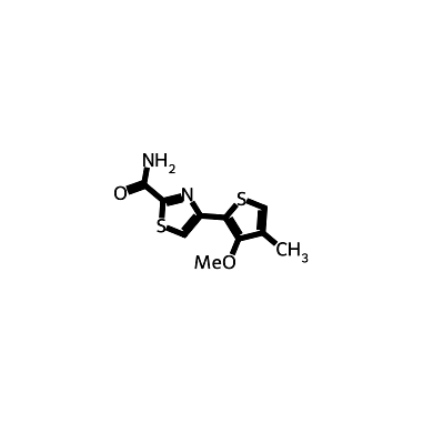 COc1c(C)csc1-c1csc(C(N)=O)n1